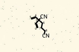 C=CC(C#N)(C=C)CCCC#N